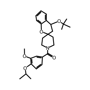 COc1cc(C(=O)N2CCC3(CC2)CC(OC(C)(C)C)c2ccccc2O3)ccc1OC(C)C